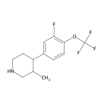 CC1CNCCC1c1ccc(OC(F)(F)F)c(F)c1